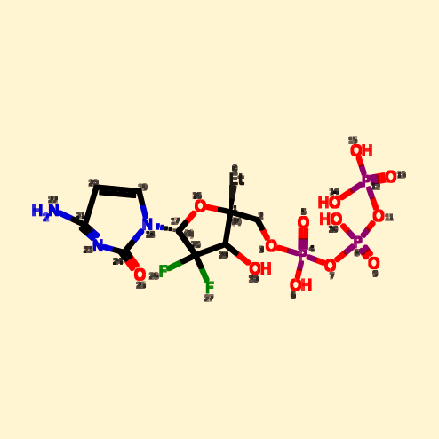 CC[C@]1(COP(=O)(O)OP(=O)(O)OP(=O)(O)O)O[C@@H](n2ccc(N)nc2=O)C(F)(F)C1O